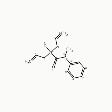 C=CC[N+]([O-])(CC=C)C(=O)P(C)c1ccccc1